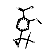 COc1cc(C2(C(F)(F)F)N=N2)ccc1C(=O)O